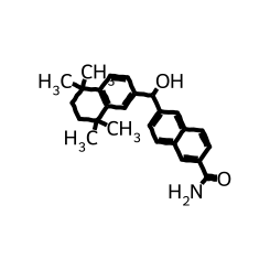 CC1(C)CCC(C)(C)c2cc(C(O)c3ccc4cc(C(N)=O)ccc4c3)ccc21